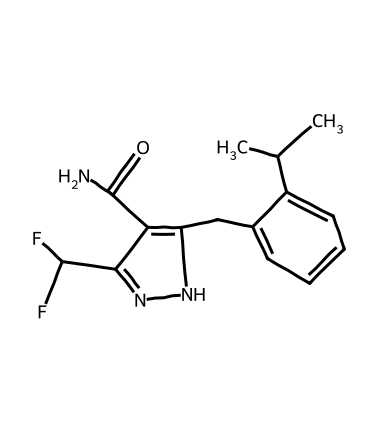 CC(C)c1ccccc1Cc1[nH]nc(C(F)F)c1C(N)=O